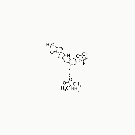 Cc1ccc2n(c1=O)Cc1cc3c(CCCOC(=O)C(C)(C)N)cccc3nc1-2.O=C(O)C(F)(F)F